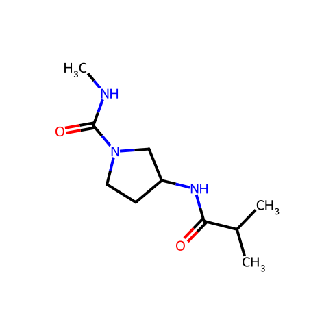 CNC(=O)N1CCC(NC(=O)C(C)C)C1